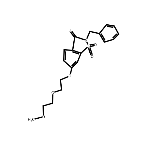 COCCOCCOc1ccc2c(c1)S(=O)(=O)N(Cc1ccccc1)C2=O